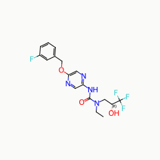 CCN(C[C@@H](O)C(F)(F)F)C(=O)Nc1cnc(OCc2cccc(F)c2)cn1